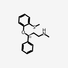 CNCC[C@H](Oc1ccccc1SC)c1ccccc1